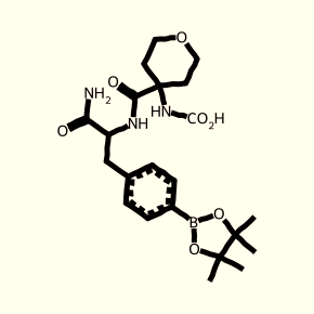 CC1(C)OB(c2ccc(CC(NC(=O)C3(NC(=O)O)CCOCC3)C(N)=O)cc2)OC1(C)C